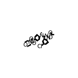 CC(=O)On1nc(N(C)c2ccc(S(=O)(=O)N3CCOCC3)cc2)c2cc(Cl)ccc21